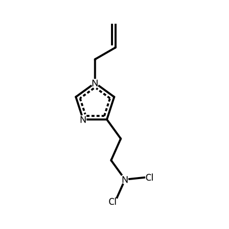 C=CCn1cnc(CCN(Cl)Cl)c1